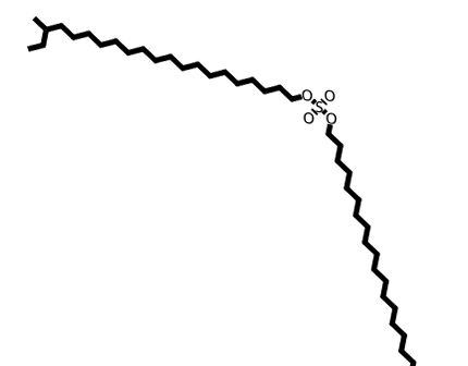 CCC(C)CCCCCCCCCCCCCCCCCCOS(=O)(=O)OCCCCCCCCCCCCCCCCCCC(C)CC